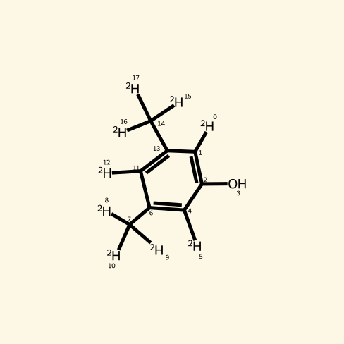 [2H]c1c(O)c([2H])c(C([2H])([2H])[2H])c([2H])c1C([2H])([2H])[2H]